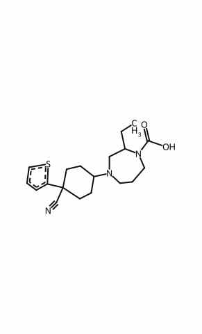 CCC1CN(C2CCC(C#N)(c3cccs3)CC2)CCCN1C(=O)O